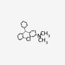 CN(C)c1ccc(C(c2ccccc2)c2ccccc2Cl)cc1